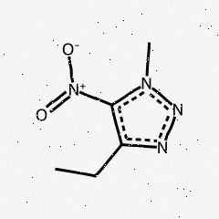 CCc1nnn(C)c1[N+](=O)[O-]